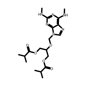 CNc1nc(NC)c2ncn(COC(COC(=O)C(C)C)COC(=O)C(C)C)c2n1